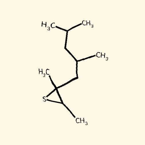 CC(C)CC(C)CC1(C)SC1C